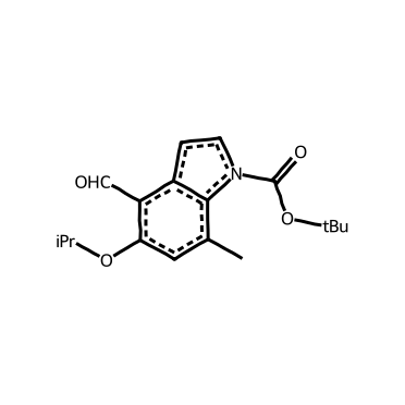 Cc1cc(OC(C)C)c(C=O)c2ccn(C(=O)OC(C)(C)C)c12